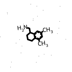 Cc1cc(C)c2c(c1)C(CN)CCC2